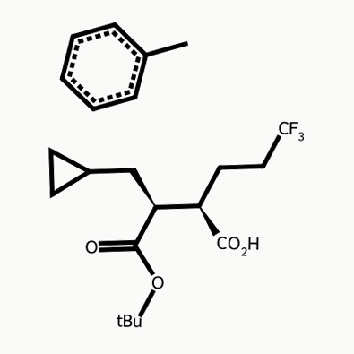 CC(C)(C)OC(=O)[C@@H](CC1CC1)[C@@H](CCC(F)(F)F)C(=O)O.Cc1ccccc1